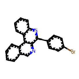 Brc1ccc(-c2nc3ccccc3c3c2ncc2ccccc23)cc1